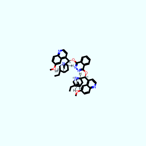 CC[C@H]1C[N@]2CCC1C[C@@H]2[C@@H](Oc1nnc(O[C@@H](c2ccnc3ccc(OC)cc23)[C@H]2C[C@@H]3CC[N@]2C[C@@H]3CC)c2ccccc12)c1ccnc2ccc(OC)cc12